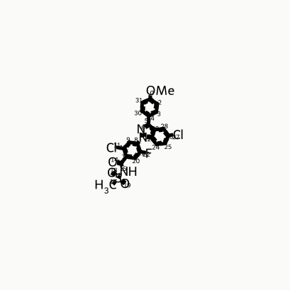 COc1ccc(-c2nn(-c3cc(Cl)c(C(=O)NS(C)(=O)=O)cc3F)c3ccc(Cl)cc23)cc1